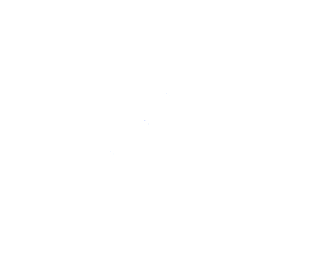 CC(C)(C)OC(=O)NCCNC(=O)c1ccc(Cl)nc1